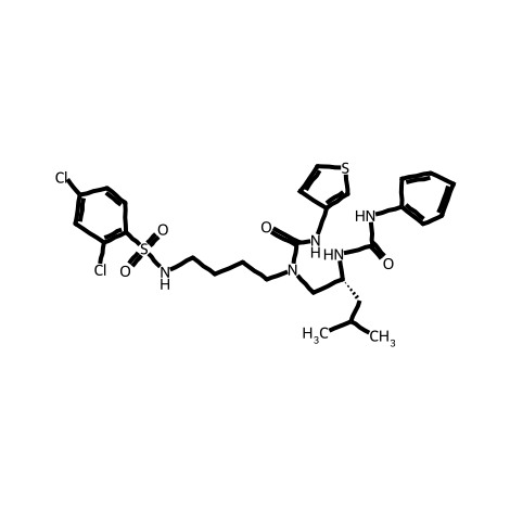 CC(C)C[C@H](CN(CCCCNS(=O)(=O)c1ccc(Cl)cc1Cl)C(=O)Nc1ccsc1)NC(=O)Nc1ccccc1